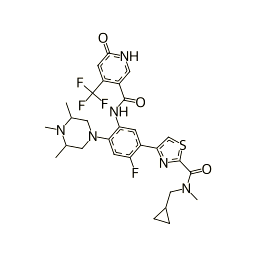 CC1CN(c2cc(F)c(-c3csc(C(=O)N(C)CC4CC4)n3)cc2NC(=O)c2c[nH]c(=O)cc2C(F)(F)F)CC(C)N1C